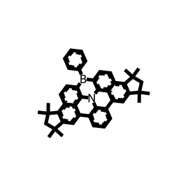 CC1(C)CC(C)(C)c2c1cc1c3c4c(ccc23)B(c2ccccc2)c2ccc3c5c(cc6c3c2N4c2c-1cccc2-6)C(C)(C)CC5(C)C